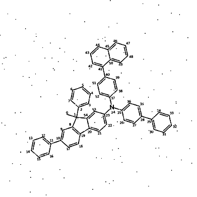 CC1(c2ccccc2)c2cc(-c3ccccc3)ccc2-c2ccc(N(c3ccc(-c4ccccc4)cc3)c3ccc(-c4cccc5ccccc45)cc3)cc21